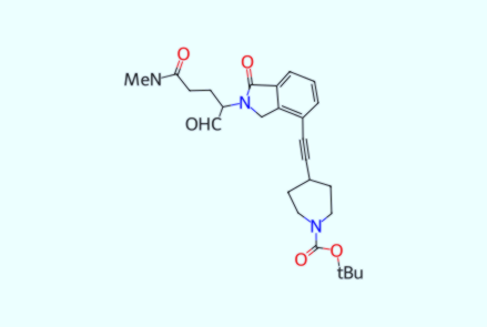 CNC(=O)CCC(C=O)N1Cc2c(C#CC3CCN(C(=O)OC(C)(C)C)CC3)cccc2C1=O